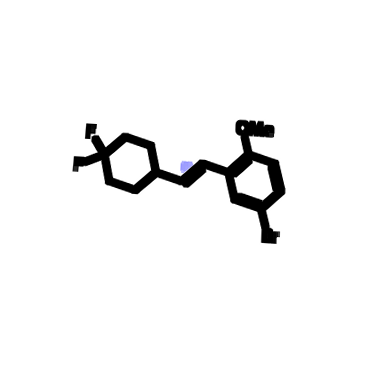 COc1ccc(Br)cc1/C=C/C1CCC(F)(F)CC1